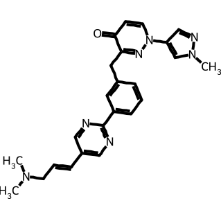 CN(C)C/C=C/c1cnc(-c2cccc(Cc3nn(-c4cnn(C)c4)ccc3=O)c2)nc1